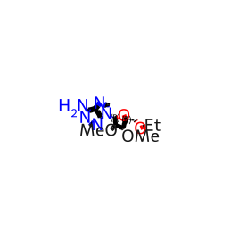 CCOC[C@H]1O[C@@H](n2cnc3c(N)ncnc32)C(OC)C1OC